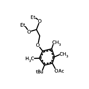 CCOC(COc1c(C)c(C)c(OC(C)=O)c(C(C)(C)C)c1C)OCC